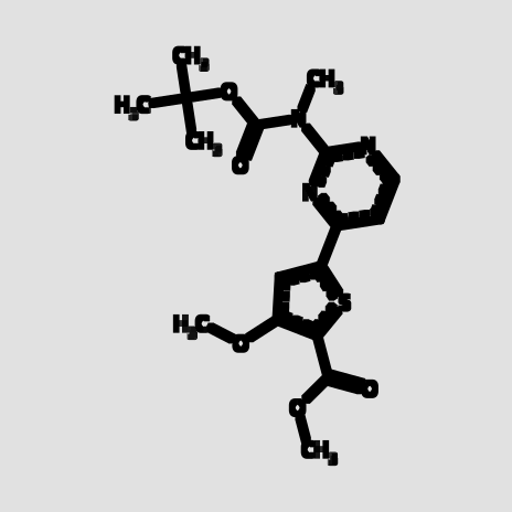 COC(=O)c1sc(-c2ccnc(N(C)C(=O)OC(C)(C)C)n2)cc1OC